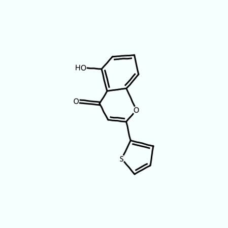 O=c1cc(-c2cccs2)oc2cccc(O)c12